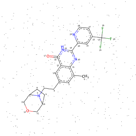 Cc1cc(CCN2C3CCC2COC3)cc2c(=O)[nH]c(-c3cc(C(F)(F)F)ccn3)nc12